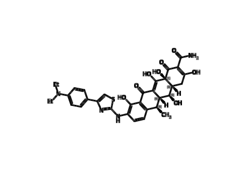 CCN(CC)c1ccc(-c2csc(Nc3ccc4c(c3O)C(=O)C3=C(O)[C@]5(O)C(=O)C(C(N)=O)=C(O)C[C@@H]5[C@@H](O)[C@@H]3[C@H]4C)n2)cc1